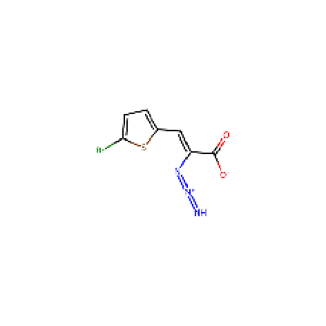 N=[N+]=NC(=Cc1ccc(Br)s1)C(=O)[O-]